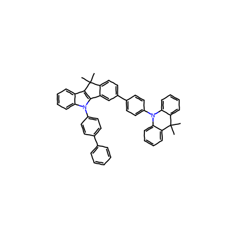 CC1(C)c2ccccc2N(c2ccc(-c3ccc4c(c3)-c3c(c5ccccc5n3-c3ccc(-c5ccccc5)cc3)C4(C)C)cc2)c2ccccc21